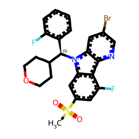 CS(=O)(=O)c1cc(F)c2c3ncc(Br)cc3n([C@H](c3ccccc3F)C3CCOCC3)c2c1